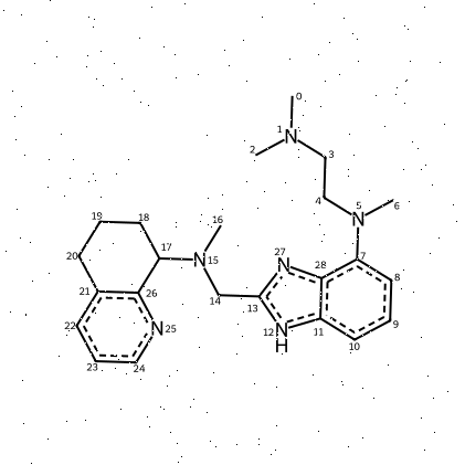 CN(C)CCN(C)c1cccc2[nH]c(CN(C)C3CCCc4cccnc43)nc12